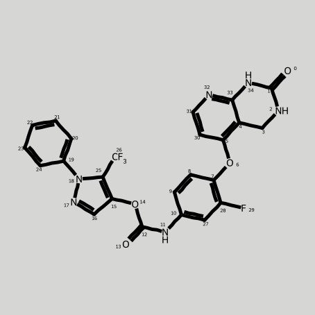 O=C1NCc2c(Oc3ccc(NC(=O)Oc4cnn(-c5ccccc5)c4C(F)(F)F)cc3F)ccnc2N1